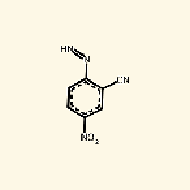 N#Cc1cc([N+](=O)[O-])ccc1N=N